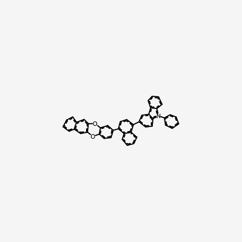 c1ccc(-n2c3ccccc3c3cc(-c4ccc(-c5ccc6c(c5)Oc5cc7ccccc7cc5O6)c5ccccc45)ccc32)cc1